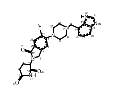 O=C1CCC(N2Cc3cc(N4CCN(Cc5cccc6nc[nH]c56)CC4)c(F)cc3C2=O)C(=O)N1